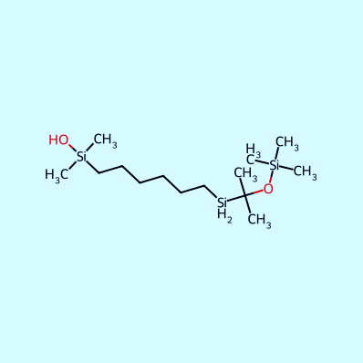 CC(C)(O[Si](C)(C)C)[SiH2]CCCCCC[Si](C)(C)O